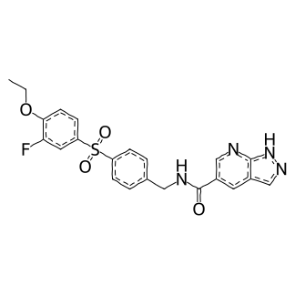 CCOc1ccc(S(=O)(=O)c2ccc(CNC(=O)c3cnc4[nH]ncc4c3)cc2)cc1F